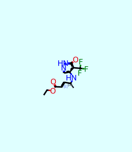 CCOC(=O)/C=C/[C@H](C)Nc1cn[nH]c(=O)c1C(F)(F)F